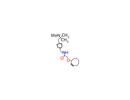 CNC(C)(C)Cc1ccc(CNC(=O)COC2C#CCCCCC2)cc1